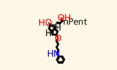 CCCCCC(O)C=C[C@@H]1[C@@H]2CC(OCCCCNc3ccccc3)C[C@H]2C[C@H]1O